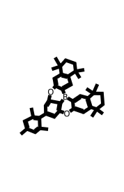 Cc1cc(C)c(-c2cc3c4c(c2)Oc2cc5c(cc2B4c2cc4c(cc2O3)C(C)(C)CCC4(C)C)C(C)(C)CCC5(C)C)c(C)c1